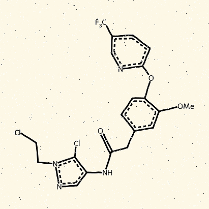 COc1cc(CC(=O)Nc2cnn(CCCl)c2Cl)ccc1Oc1ccc(C(F)(F)F)cn1